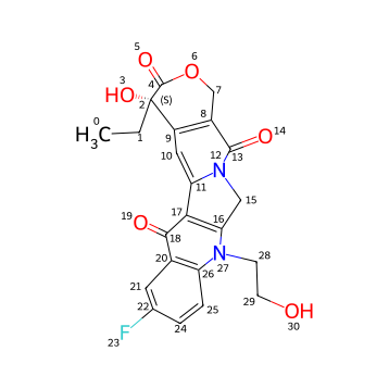 CC[C@@]1(O)C(=O)OCc2c1cc1n(c2=O)Cc2c-1c(=O)c1cc(F)ccc1n2CCO